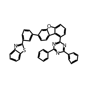 c1ccc(-c2nc(-c3ccccc3)nc(-c3cccc4oc5cc(-c6cccc(-c7nc8ccccc8s7)c6)ccc5c34)n2)cc1